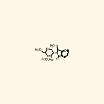 CC(=O)OC[C@H]1O[C@H](O)[C@@H](N2C(=O)c3ccccc3C2=O)[C@@H](OC(C)=O)[C@@H]1OC(C)=O